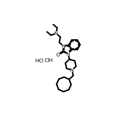 CCN(CC)CCn1c(=O)n(C2CCN(CC3CCCCCCC3)CC2)c2ccccc21.Cl.Cl